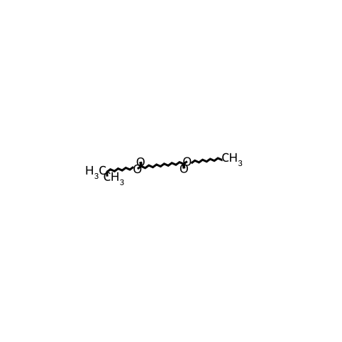 CCCCCCCCCCOC(=O)CCCCCCCCCCC(=O)OCCCCCCCC(C)C